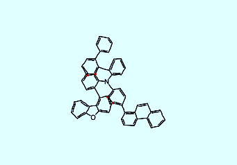 c1ccc(-c2ccccc2-c2ccccc2N(c2ccc(-c3cccc4c3ccc3ccccc34)cc2)c2ccccc2-c2cccc3oc4ccccc4c23)cc1